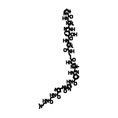 CN(C)CCCNC(=O)CCNC(=O)c1cc(NC(=O)c2cc(NC(=O)c3ccc4nc(-c5nc(NC(=O)CCCNC(=O)c6cc(NC(=O)c7ccc8nc(-c9nc(NC(=O)c%10nccn%10C)cn9C)[nH]c8c7O)cn6C)cn5C)[nH]c4c3)cn2C)cn1C